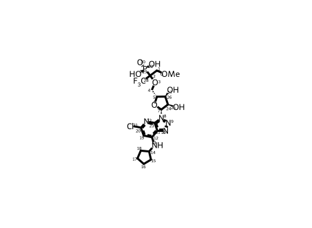 COCC(OC[C@H]1O[C@@H](n2nnc3c(NC4CCCC4)cc(Cl)nc32)[C@H](O)[C@@H]1O)(C(F)(F)F)P(=O)(O)O